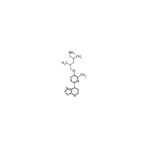 Cc1nc(-c2ccnc3ccnn23)ccc1OCC(C)CC(C)CN